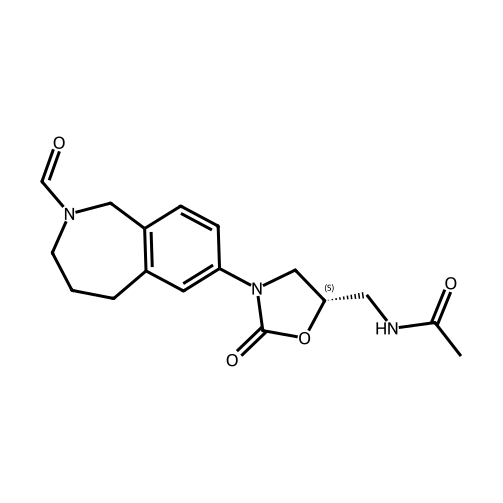 CC(=O)NC[C@H]1CN(c2ccc3c(c2)CCCN(C=O)C3)C(=O)O1